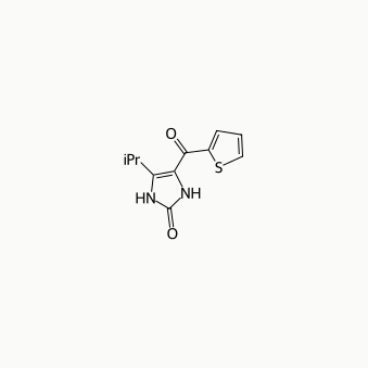 CC(C)c1[nH]c(=O)[nH]c1C(=O)c1cccs1